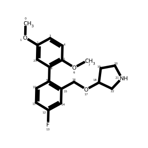 COc1ccc(OC)c(-c2ccc(F)cc2COC2CCNC2)c1